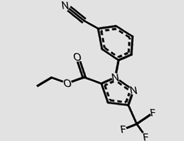 CCOC(=O)c1cc(C(F)(F)F)nn1-c1cccc(C#N)c1